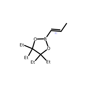 C/C=C/B1OC(CC)(CC)C(CC)(CC)O1